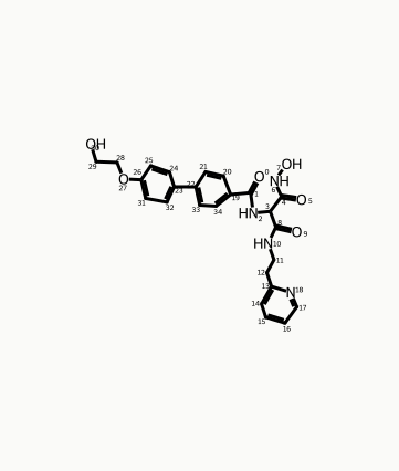 O=C(NC(C(=O)NO)C(=O)NCCc1ccccn1)c1ccc(-c2ccc(OCCO)cc2)cc1